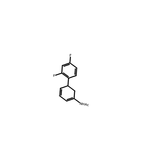 CC(=O)NC1=C[C]=CC(c2ccc(F)cc2F)C1